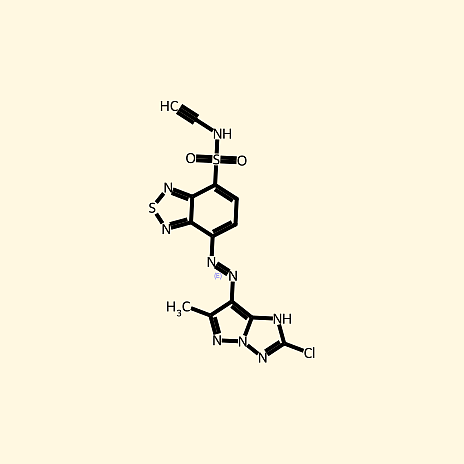 C#CNS(=O)(=O)c1ccc(/N=N/c2c(C)nn3nc(Cl)[nH]c23)c2nsnc12